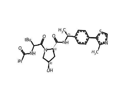 Cc1ncsc1-c1ccc([C@H](C)NC(=O)[C@@H]2C[C@@H](O)CN2C(=O)C(NC(=O)C(C)C)C(C)(C)C)cc1